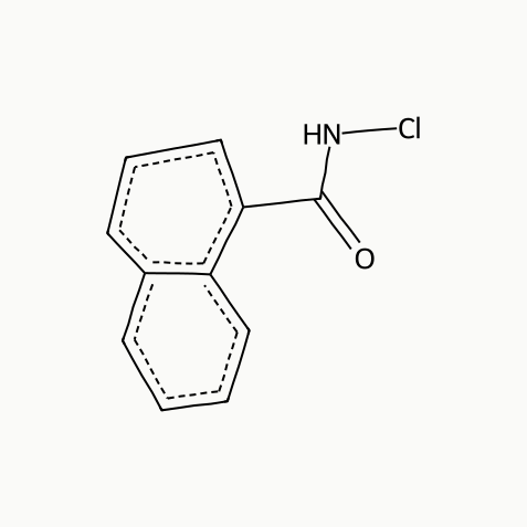 O=C(NCl)c1cccc2ccccc12